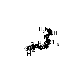 C[C@@H]1CN(c2cc(-c3n[nH]c4ccc(N)cc34)ccn2)C[C@H](C)N1CC1CCN(CC2CCN(c3ccc4c(c3)C(=O)N(C3CCC(=O)NC3=O)C4=O)CC2)CC1